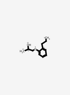 CCCc1ccccc1OCC(C)O